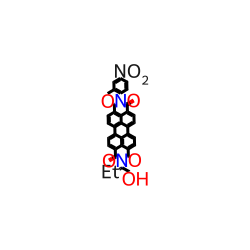 CCC(CO)N1C(=O)c2ccc3c4ccc5c6c(ccc(c7ccc(c2c37)C1=O)c64)C(=O)N(c1ccc([N+](=O)[O-])cc1C)C5=O